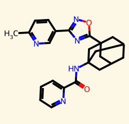 Cc1ccc(-c2noc(C34CC5CC(CC(NC(=O)c6ccccn6)(C5)C3)C4)n2)cn1